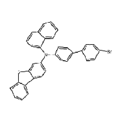 Brc1ccc(-c2ccc(N(c3ccc4c(c3)sc3ccccc34)c3cccc4ccccc34)cc2)cc1